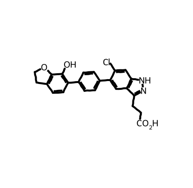 O=C(O)CCc1n[nH]c2cc(Cl)c(-c3ccc(-c4ccc5c(c4O)OCC5)cc3)cc12